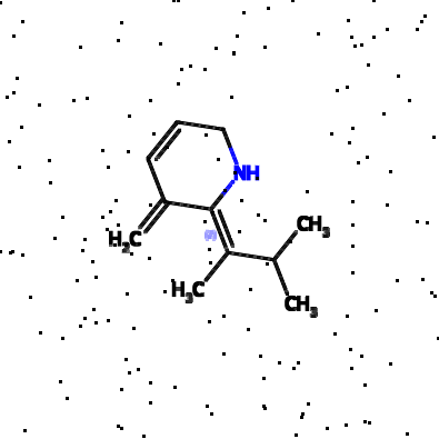 C=C1C=CCN/C1=C(/C)C(C)C